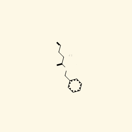 C=CC[C@H](N)C(=O)OCc1ccccc1.Cl